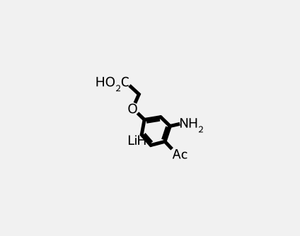 CC(=O)c1ccc(OCC(=O)O)cc1N.[LiH]